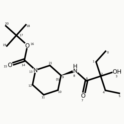 CCC(O)(CC)C(=O)N[C@H]1CCCN(C(=O)OC(C)(C)C)C1